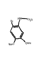 CCOC(=O)Nc1cc(OC)c(OC)cc1C(C)=O